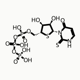 O=c1cc[nH]c(=S)n1[C@@H]1S[C@H](COP(=O)(O)OP(=O)(O)OP(=O)(O)O)[C@@H](O)[C@H]1O